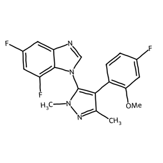 COc1cc(F)ccc1-c1c(C)nn(C)c1-n1cnc2cc(F)cc(F)c21